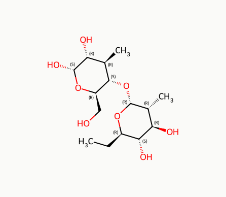 CC[C@H]1O[C@H](O[C@H]2[C@H](C)[C@@H](O)[C@@H](O)O[C@@H]2CO)[C@H](C)[C@@H](O)[C@@H]1O